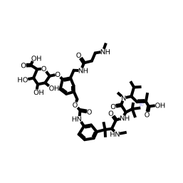 CNCCC(=O)NCc1cc(COC(=O)Nc2cccc(C(C)(C)C(NC)C(=O)NC(C(=O)N(C)C(/C=C(\C)C(=O)O)C(C)C)C(C)(C)C)c2)ccc1OC1OC(C(=O)O)C(O)C(O)C1O